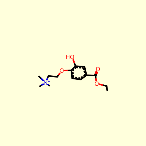 CCOC(=O)c1ccc(OCC[N+](C)(C)C)c(O)c1